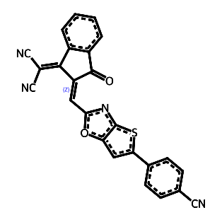 N#CC(C#N)=C1/C(=C/c2nc3sc(-c4ccc(C#N)cc4)cc3o2)C(=O)c2ccccc21